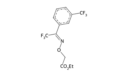 CCOC(=O)CON=C(c1cccc(C(F)(F)F)c1)C(F)(F)F